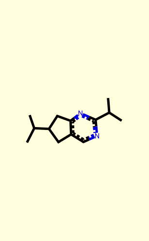 CC(C)c1ncc2c(n1)CC(C(C)C)C2